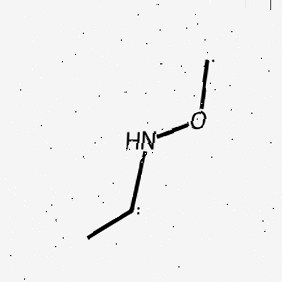 [CH2]ON[C]C